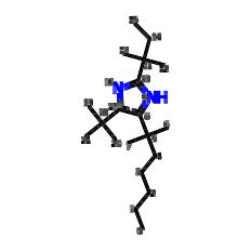 CCCCCC(C)(C)c1[nH]c(C(C)(C)CC)nc1C(C)(C)C